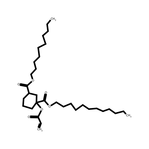 C=CC(=O)OC1(C(=O)OCCCCCCCCCCCC)CCCC(C(=O)OCCCCCCCCCC)C1